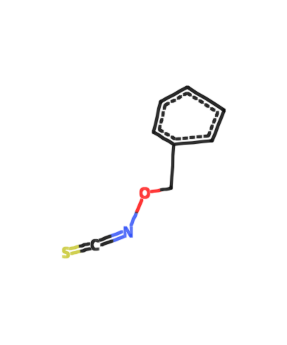 S=C=NOCc1ccccc1